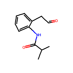 CC(C)C(=O)Nc1ccccc1CC=O